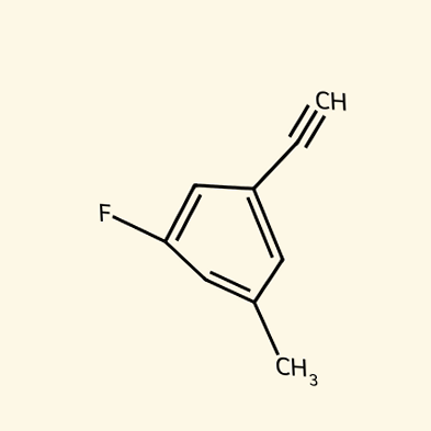 C#Cc1cc(C)cc(F)c1